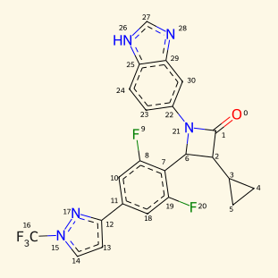 O=C1C(C2CC2)C(c2c(F)cc(-c3ccn(C(F)(F)F)n3)cc2F)N1c1ccc2[nH]cnc2c1